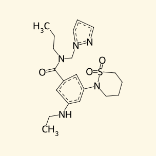 CCCN(Cn1cccn1)C(=O)c1cc(NCC)cc(N2CCCCS2(=O)=O)c1